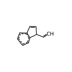 [CH]=CC1C=Cc2ccccc21